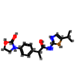 CC(C)c1cnc(NC(=O)C(C)c2ccc(N3CCOC3=O)cc2)s1